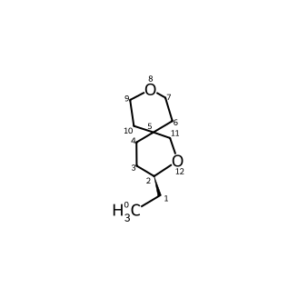 CC[C@H]1CCC2(CCOCC2)CO1